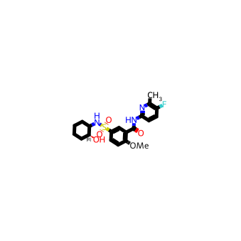 COc1ccc(S(=O)(=O)NC2CCCC[C@H]2O)cc1C(=O)Nc1ccc(F)c(C)n1